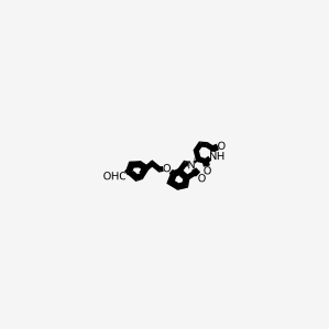 O=Cc1ccc(CCOc2cccc3c2CN([C@H]2CCCC(=O)NC2=O)C3=O)cc1